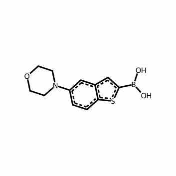 OB(O)c1cc2cc(N3CCOCC3)ccc2s1